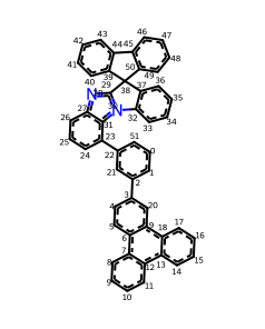 c1cc(-c2ccc3c4ccccc4c4ccccc4c3c2)cc(-c2cccc3nc4n(c23)-c2ccccc2C42c3ccccc3-c3ccccc32)c1